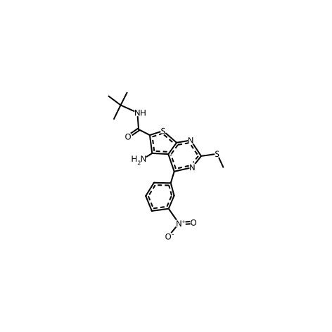 CSc1nc(-c2cccc([N+](=O)[O-])c2)c2c(N)c(C(=O)NC(C)(C)C)sc2n1